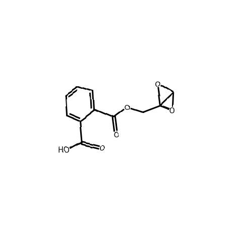 O=C(O)c1ccccc1C(=O)OCC12OC1O2